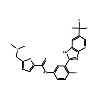 CN(C)Cc1ccc(C(=O)Nc2ccc(Cl)c(-c3nc4ncc(C(F)(F)F)cc4[nH]3)c2)o1